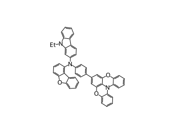 CCn1c2ccccc2c2ccc(N(c3ccc(-c4cc5c6c(c4)Oc4ccccc4N6c4ccccc4O5)cc3)c3cccc4oc5ccccc5c34)cc21